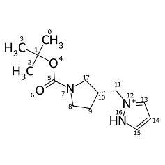 CC(C)(C)OC(=O)N1CC[C@@H](C[n+]2ccc[nH]2)C1